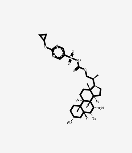 CC[C@H]1[C@@H](O)[C@@H]2[C@H](CC[C@]3(C)[C@@H]([C@H](C)COC(=O)NS(=O)(=O)c4cnc(OC5CC5)nc4)CC[C@@H]23)[C@@]2(C)CC[C@@H](O)C[C@@H]12